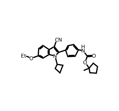 CCOc1ccc2c(C#N)c(-c3ccc(NC(=O)OC4(C)CCCC4)cc3)n(C3CCC3)c2c1